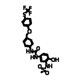 CS(=O)(=O)Nc1cc(NC(=O)Nc2ccc(COc3ccc(SC(F)(F)F)cc3)cc2)ccc1O